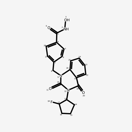 O=C(NO)c1ccc(Cn2c(=O)n(C3CCCC3F)c(=O)c3ccccc32)cc1